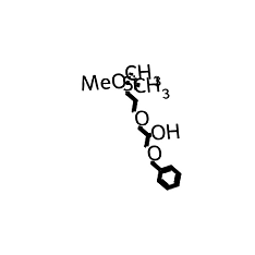 CO[Si](C)(C)CCCOCC(O)COCc1ccccc1